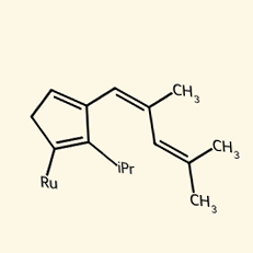 CC(C)=CC(C)=CC1=CC[C]([Ru])=C1C(C)C